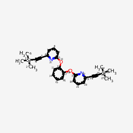 C[Si](C)(C)C#Cc1cccc(Oc2ccccc2Oc2cccc(C#C[Si](C)(C)C)n2)n1